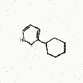 [CH]1NC=CC=C1C1CCCCC1